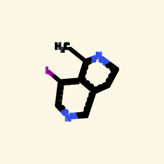 Cc1nccc2cncc(I)c12